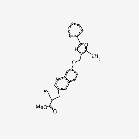 COC(=O)C(Br)Cc1cnc2cc(OCc3nc(-c4ccccc4)oc3C)ccc2c1